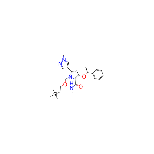 CNC(=O)c1c(O[C@@H](C)c2ccccc2)cc(-c2cnn(C)c2)n1COCC[Si](C)(C)C